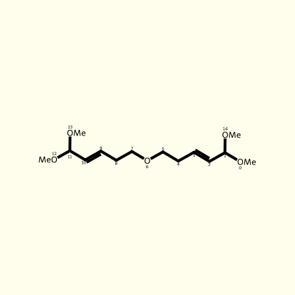 COC(C=CCCOCCC=CC(OC)OC)OC